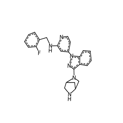 Fc1ccccc1CNc1cc(-n2nc(N3CC4CC3CN4)c3ccccc32)ccn1